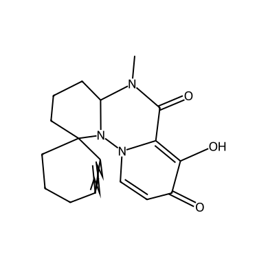 CN1C(=O)c2c(O)c(=O)ccn2N2C1CCCC21CCCc2ccccc21